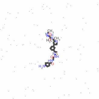 Cc1nnc(C(=O)NC(C)(C)c2cc(-c3cccc(-c4csc(NC(=O)CNC(=O)c5ccc(N)cc5)n4)c3)ccn2)o1